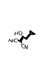 N#CC(C#N)=C(O)CC1CC1